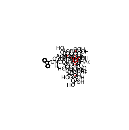 CC(=O)NC1C(O)[C@H](OC2OC(CO)[C@H](O)C(O)C2O)C(CO)O[C@H]1OC1C(O)[C@H](O)C(CO)O[C@@H]1OC1C(O)[C@H](O[C@@H]2C(CO)O[C@@H](O[C@@H]3C(CO)O[C@@H](CC(=O)CC(NC(=O)OCC4c5ccccc5-c5ccccc54)C(=O)O)C(NC(C)=O)C3O)C(NC(C)=O)C2O)OC(CO[C@H]2OC(CO)[C@@H](O)C(O)C2O[C@@H]2OC(CO)[C@@H](O[C@@H]3OC(CO)[C@H](O)C(O)C3O)C(O)C2NC(C)=O)[C@H]1O